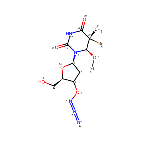 CCO[C@H]1N([C@H]2CC(ON=[N+]=[N-])[C@@H](CO)O2)C(=O)NC(=O)[C@]1(C)Br